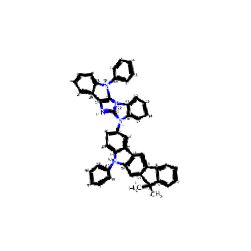 CC1(C)c2ccccc2-c2cc3c4cc(-n5c6ccccc6n6c5nc5c7ccccc7n(-c7ccccc7)c56)ccc4n(-c4ccccc4)c3cc21